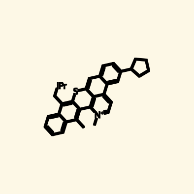 Cc1c2c(c(CC(C)C)c3ccccc13)Sc1cc3ccc(C4CCCC4)cc3c3cc[n+](C)c-2c13